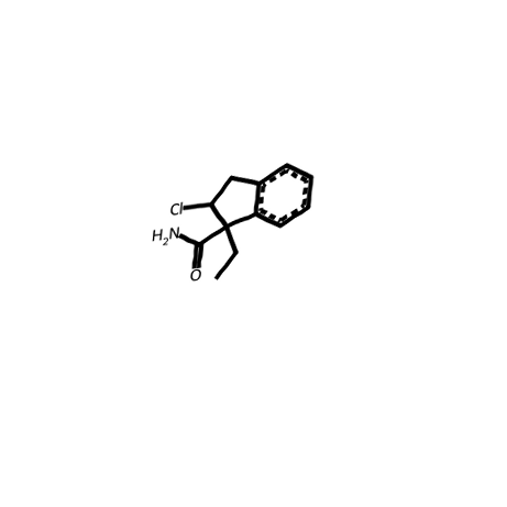 CCC1(C(N)=O)c2ccccc2CC1Cl